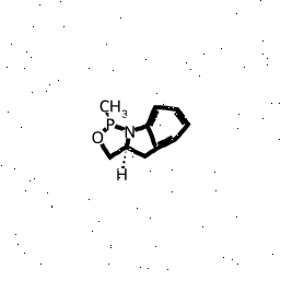 C[P@@]1OC[C@@H]2Cc3ccccc3N21